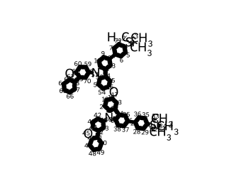 C[Si](C)(C)c1ccc(-c2ccc3c(c2)c2cc(Oc4ccc5c(c4)c4cc(-c6ccc([Si](C)(C)C)cc6)ccc4n5-c4ccc5oc6ccccc6c5c4)ccc2n3-c2ccc3oc4ccccc4c3c2)cc1